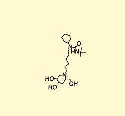 CC(C)(C)NC(=O)N(CCCCCCN1C[C@H](O)[C@@H](O)C[C@H]1CO)C1CCCCC1